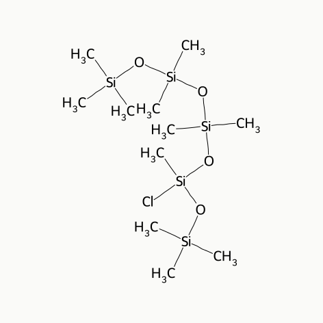 C[Si](C)(C)O[Si](C)(C)O[Si](C)(C)O[Si](C)(Cl)O[Si](C)(C)C